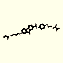 C=CC(=O)OCCCCOc1ccc2c(c1)C(C)c1cc(C(=O)Oc3ccc(OCCOC(=O)C(=C)F)cc3)ccc1-2